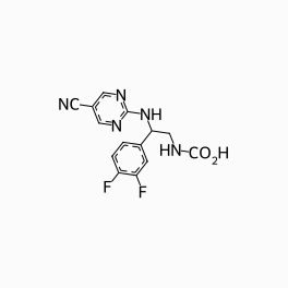 N#Cc1cnc(NC(CNC(=O)O)c2ccc(F)c(F)c2)nc1